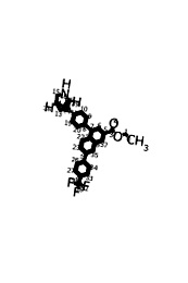 CCOC(=O)c1cc(-c2ccc([C@H]3C[C@@H]4CN[C@H]3C4)cc2)c2ccc(-c3ccc(C(F)(F)F)cc3)cc2c1